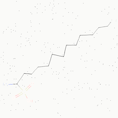 CCCCCCCCCCCCCC(N)S(=O)(=O)O